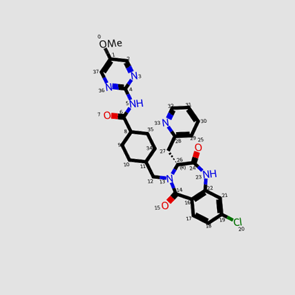 COc1cnc(NC(=O)C2CCC(CN3C(=O)c4ccc(Cl)cc4NC(=O)[C@H]3Cc3ccccn3)CC2)nc1